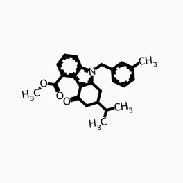 COC(=O)c1cccc2c1c1c(n2Cc2cccc(C)c2)CC(C(C)C)CC1=O